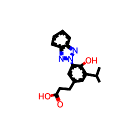 CC(C)c1cc(CCC(=O)O)cc(-n2nc3ccccc3n2)c1O